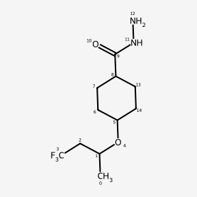 CC(CC(F)(F)F)OC1CCC(C(=O)NN)CC1